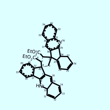 CCOC(=O)CC1(C[C@]2(CC(=O)OCC)C3=C(NC4C=CC=CC4=C3)c3ccccc32)C2=CC=CCC2c2nc3ccccc3cc21